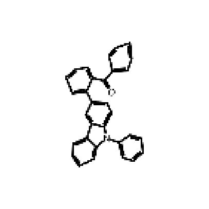 O=C(c1ccccc1)c1ccccc1-c1ccc2c(c1)c1ccccc1n2-c1ccccc1